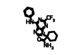 NC(=O)C1(n2cnc3c(Nc4ccccc4)nc(C(F)(F)F)nc32)CCCCC1